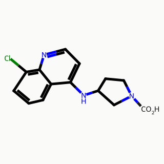 O=C(O)N1CCC(Nc2ccnc3c(Cl)cccc23)C1